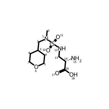 CN(CC1CCOCC1)S(=O)(=O)NC[C@H](N)C(=O)O